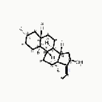 C/C=C1/[C@H](O)C[C@H]2[C@@H]3CC[C@H]4C[C@@H](C)CC[C@]4(C)[C@H]3CC[C@]12C